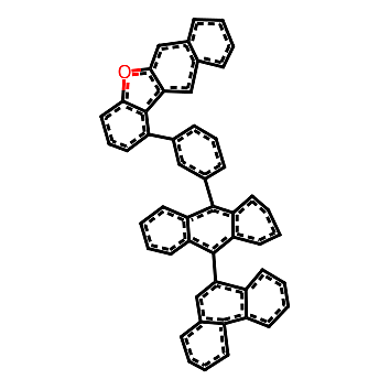 c1cc(-c2c3ccccc3c(-c3cc4ccccc4c4ccccc34)c3ccccc23)cc(-c2cccc3oc4cc5ccccc5cc4c23)c1